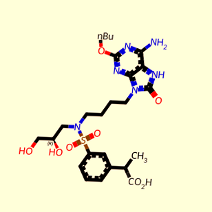 CCCCOc1nc(N)c2[nH]c(=O)n(CCCCN(C[C@@H](O)CO)S(=O)(=O)c3cccc(C(C)C(=O)O)c3)c2n1